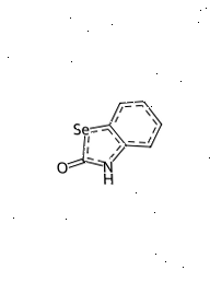 O=c1[nH]c2ccccc2[se]1